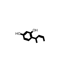 C/C=C\C(C)c1ccc(O)cc1O